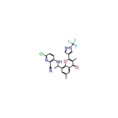 Cc1cc(C(C)Nc2ccc(Cl)nc2C#N)c2oc(-c3cnn(C(F)(F)F)c3)c(C)c(=O)c2c1